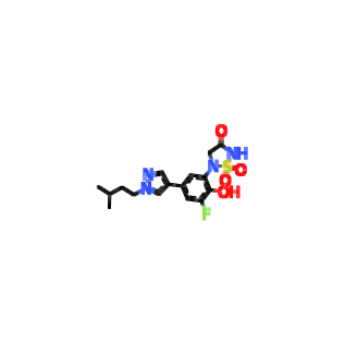 CC(C)CCn1cc(-c2cc(F)c(O)c(N3CC(=O)NS3(=O)=O)c2)cn1